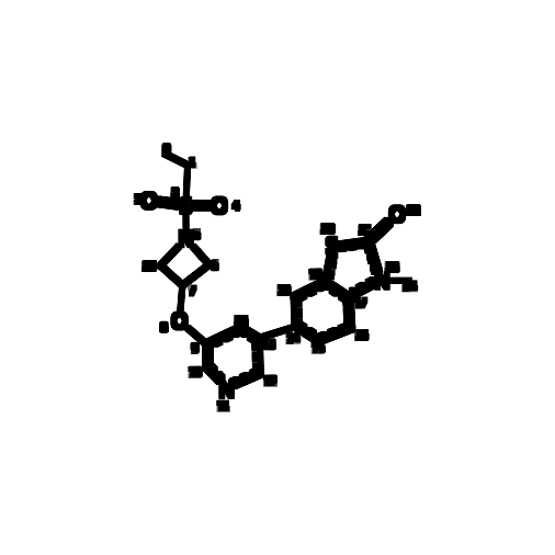 CCS(=O)(=O)N1CC(Oc2cncc(-c3ccc4c(c3)sc(=O)n4C)c2)C1